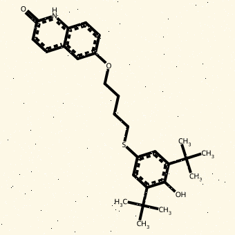 CC(C)(C)c1cc(SCCCCOc2ccc3[nH]c(=O)ccc3c2)cc(C(C)(C)C)c1O